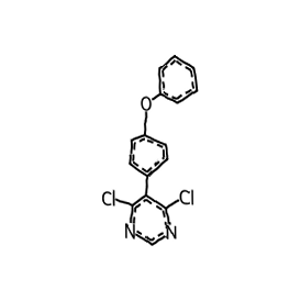 Clc1ncnc(Cl)c1-c1ccc(Oc2ccccc2)cc1